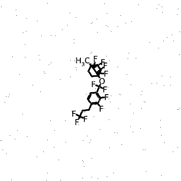 CC12CCC(OC(F)(F)c3ccc(CCC(F)(F)F)c(F)c3F)(CC1)C(F)(F)C2(F)F